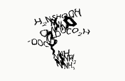 Nc1nc(/C(=N/OC(C(=O)O)c2ccc(O)c(O)c2)C(=O)NC2C(=O)N3C(C(=O)[O-])=C(/C=C/C[n+]4cnc(N)c(N)c4N)CSC23)cs1